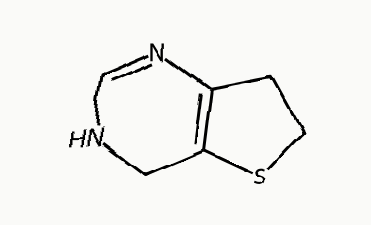 C1=NC2=C(CN1)SCC2